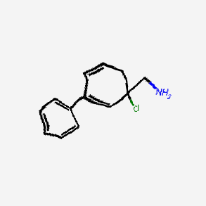 NCC1(Cl)C=C(c2ccccc2)C=CC1